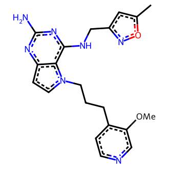 COc1cnccc1CCCn1ccc2nc(N)nc(NCc3cc(C)on3)c21